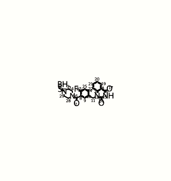 BSN1CCN(C(=O)c2cc(Cn3c(=O)[nH]c(=O)c4ccccc43)ccc2F)CC1